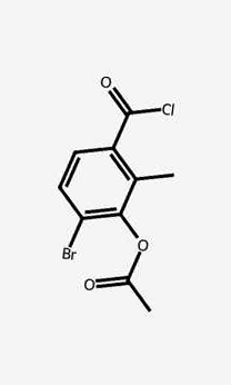 CC(=O)Oc1c(Br)ccc(C(=O)Cl)c1C